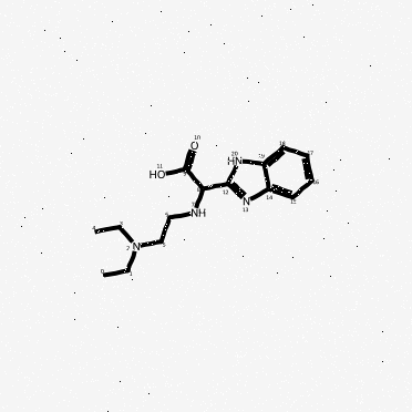 CCN(CC)CCNC(C(=O)O)c1nc2ccccc2[nH]1